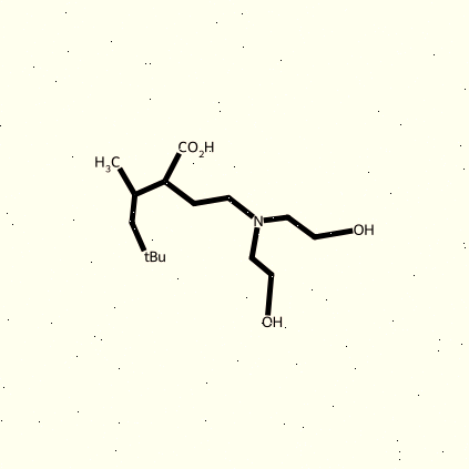 CC(CC(C)(C)C)C(CCN(CCO)CCO)C(=O)O